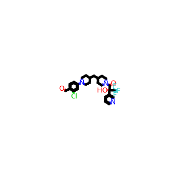 O=Cc1ccc(N2CCC(CC3CCN(C(=O)C(O)(c4cccnc4)C(F)(F)F)CC3)CC2)cc1Cl